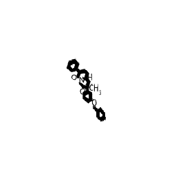 C[C@H]1CN2C(=O)C(c3ccccc3)=CC[C@H]2C[C@@]1(C)c1cccc(OCc2ccccc2)c1